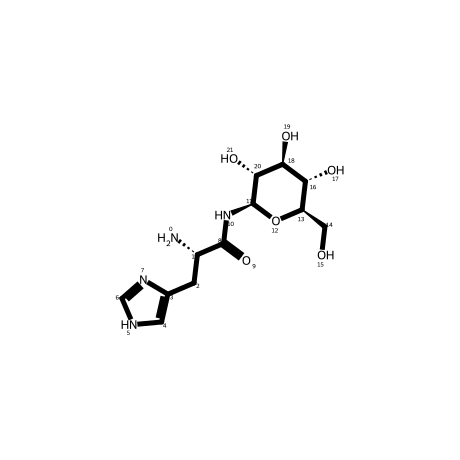 N[C@@H](Cc1c[nH]cn1)C(=O)N[C@@H]1O[C@H](CO)[C@@H](O)[C@H](O)[C@H]1O